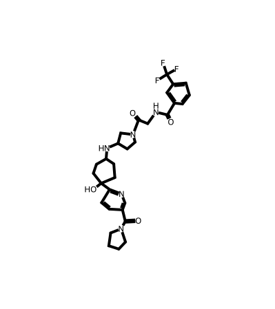 O=C(NCC(=O)N1CCC(NC2CCC(O)(c3ccc(C(=O)N4CCCC4)cn3)CC2)C1)c1cccc(C(F)(F)F)c1